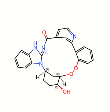 O=C1/N=C2\Nc3ccccc3N2[C@@H]2CC[C@H](O)[C@@H](C2)OOc2ccccc2-c2cc1ccn2